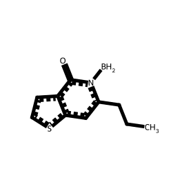 Bn1c(CCC)cc2sccc2c1=O